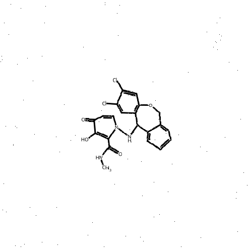 CNC(=O)c1c(O)c(=O)ccn1NC1c2ccccc2COc2cc(Cl)c(Cl)cc21